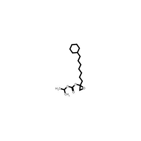 CC(C)OC(=O)OC1(CCCCCCCC2CCCCC2)CO1